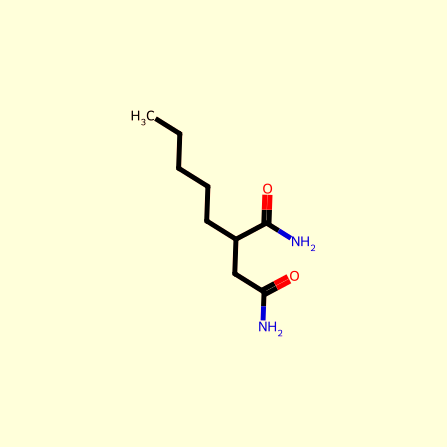 CCCCCC(CC(N)=O)C(N)=O